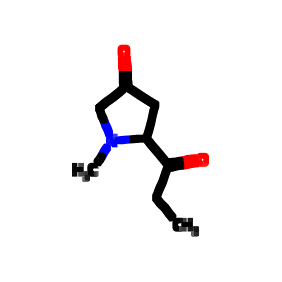 CCC(=O)C1CC(=O)CN1C